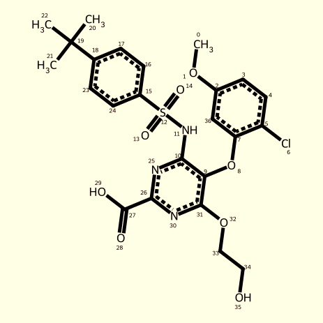 COc1ccc(Cl)c(Oc2c(NS(=O)(=O)c3ccc(C(C)(C)C)cc3)nc(C(=O)O)nc2OCCO)c1